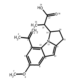 C=C(C)c1cc(OC)cc2cc3n(c12)C(C(C)C(=O)O)CC3